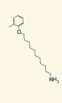 Cc1ccccc1OCCCCCCCCCCCN